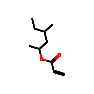 C=CC(=O)OC(C)CC(C)CC